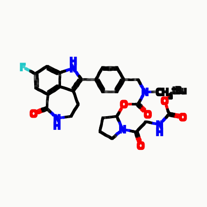 CN(Cc1ccc(-c2[nH]c3cc(F)cc4c3c2CCNC4=O)cc1)C(=O)OC1CCCN1C(=O)CNC(=O)OC(C)(C)C